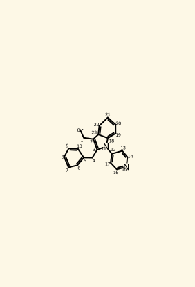 [CH2]Cc1c(Cc2ccccc2)n(-c2ccncc2)c2ccccc12